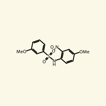 COc1cccc(S(=O)(=O)Nc2ccc(OC)cc2[N+](=O)[O-])c1